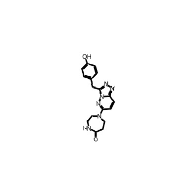 O=C1CCN(c2ccc3nnc(Cc4ccc(O)cc4)n3n2)CCN1